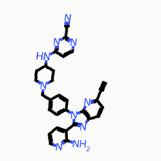 C#Cc1ccc2nc(-c3cccnc3N)n(-c3ccc(CN4CCC(Nc5ccnc(C#N)n5)CC4)cc3)c2n1